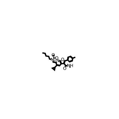 CCCCCN(Cc1nc2oc(-c3ccc(C)cc3)c(C(=O)NC)c2cc1C1CC1)[SH](=O)=O